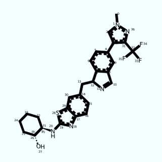 Cn1cc(-c2ccc3c(c2)C=NC3Cc2ccc3nc(N[C@@H]4CCCC[C@H]4O)sc3c2)c(C(F)(F)F)n1